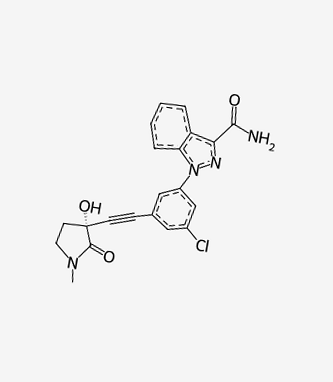 CN1CC[C@@](O)(C#Cc2cc(Cl)cc(-n3nc(C(N)=O)c4ccccc43)c2)C1=O